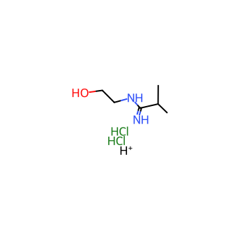 CC(C)C(=N)NCCO.Cl.Cl.[H+]